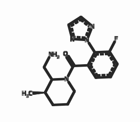 C[C@@H]1CCCN(C(=O)c2cccc(F)c2-n2nccn2)C1CN